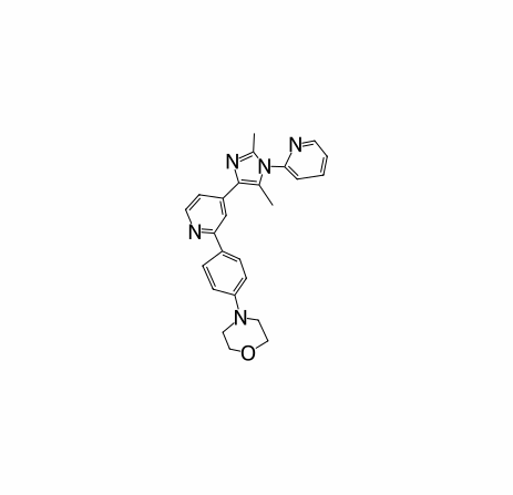 Cc1nc(-c2ccnc(-c3ccc(N4CCOCC4)cc3)c2)c(C)n1-c1ccccn1